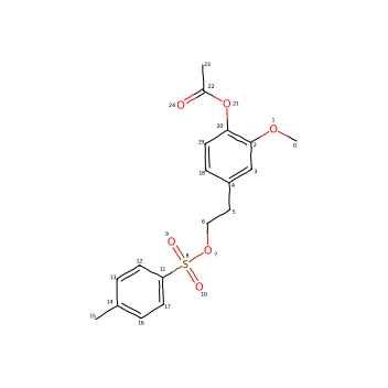 COc1cc(CCOS(=O)(=O)c2ccc(C)cc2)ccc1OC(C)=O